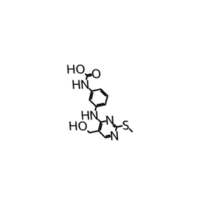 CSc1ncc(CO)c(Nc2cccc(NC(=O)O)c2)n1